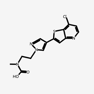 CN(CCn1cc(-c2cc3nccc(Cl)c3s2)cn1)C(=O)O